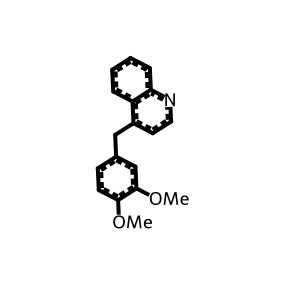 COc1ccc(Cc2ccnc3ccccc23)cc1OC